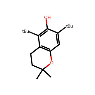 CC1(C)CCc2c(cc(C(C)(C)C)c(O)c2C(C)(C)C)O1